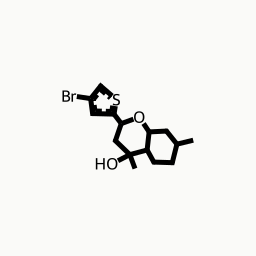 CC1CCC2C(C1)OC(c1cc(Br)cs1)CC2(C)O